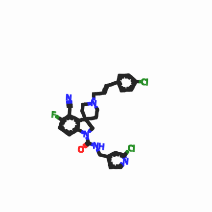 N#Cc1c(F)ccc2c1C1(CCN(C/C=C/c3ccc(Cl)cc3)CC1)CN2C(=O)NCc1ccnc(Cl)c1